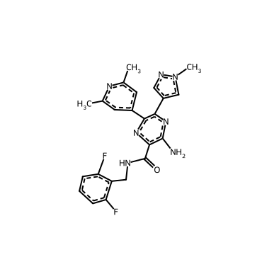 Cc1cc(-c2nc(C(=O)NCc3c(F)cccc3F)c(N)nc2-c2cnn(C)c2)cc(C)n1